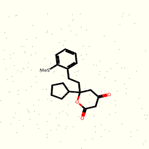 CSc1ccccc1CCC1(C2CCCC2)CC(=O)CC(=O)O1